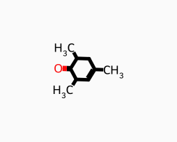 CC1=CC(C)C(=O)C(C)C1